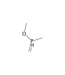 C=[PH](C)OC